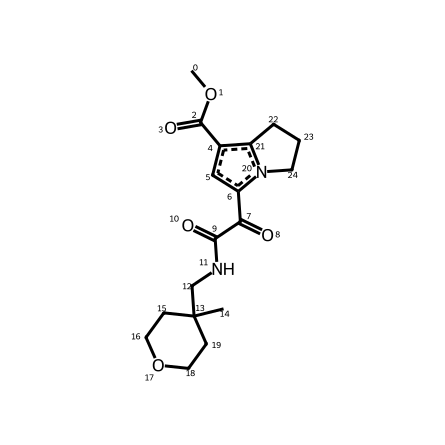 COC(=O)c1cc(C(=O)C(=O)NCC2(C)CCOCC2)n2c1CCC2